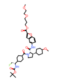 COCCOCCCOC(=O)c1cc2cc(NC(=O)[C@@H]3[C@@H](C4CCC(OC)CC4)CCN3C(=O)C3CCC([C@@H](CF)NC(=O)OC(C)(C)C)CC3)ccc2o1